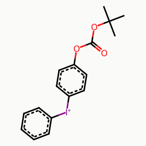 CC(C)(C)OC(=O)Oc1ccc([I+]c2ccccc2)cc1